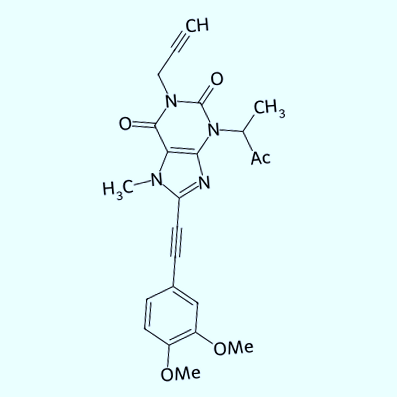 C#CCn1c(=O)c2c(nc(C#Cc3ccc(OC)c(OC)c3)n2C)n(C(C)C(C)=O)c1=O